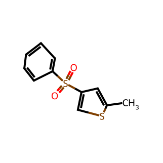 Cc1cc(S(=O)(=O)c2ccccc2)cs1